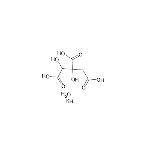 O.O=C(O)CC(O)(C(=O)O)C(O)C(=O)O.[KH]